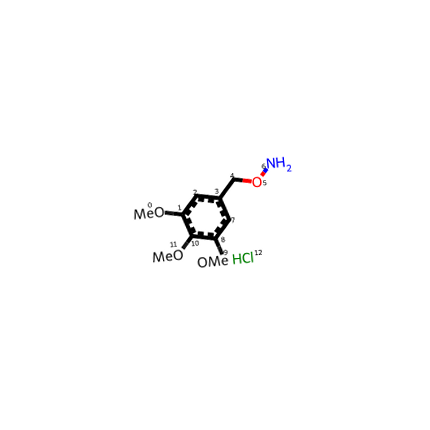 COc1cc(CON)cc(OC)c1OC.Cl